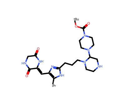 CC(C)c1[nH]c(CCCN2CCNCC2N2CCN(C(=O)OC(C)(C)C)CC2)nc1C=C1NC(=O)CNC1=O